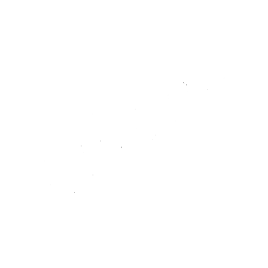 COC(=O)/C(=C\c1ccc(-c2ccccc2)cc1)NC(C)=O